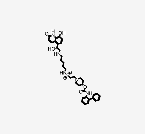 O=C(Nc1ccccc1-c1ccccc1)OC1CCN(CCS(=O)(=O)NCCCCCNC[C@H](O)c2ccc(O)c3[nH]c(=O)ccc23)CC1